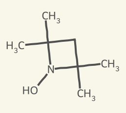 CC1(C)CC(C)(C)N1O